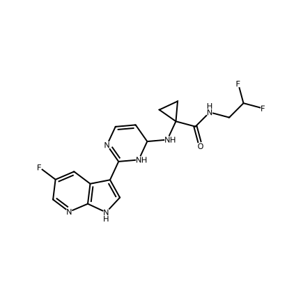 O=C(NCC(F)F)C1(NC2C=CN=C(c3c[nH]c4ncc(F)cc34)N2)CC1